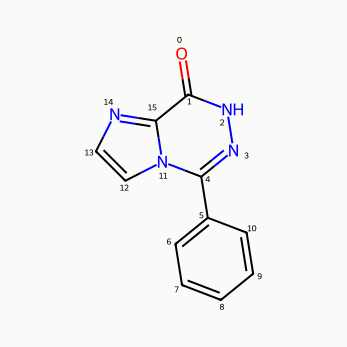 O=c1[nH]nc(-c2ccccc2)n2ccnc12